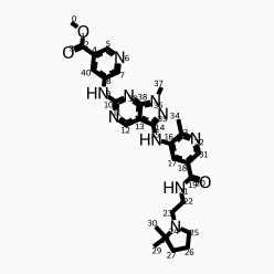 COC(=O)c1cncc(Nc2ncc3c(Nc4cc(C(=O)NCCN5CCCC5(C)C)cnc4C)nn(C)c3n2)c1